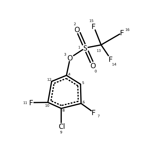 O=S(=O)(Oc1cc(F)c(Cl)c(F)c1)C(F)(F)F